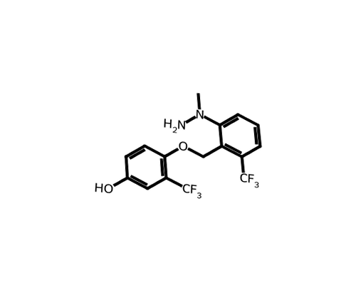 CN(N)c1cccc(C(F)(F)F)c1COc1ccc(O)cc1C(F)(F)F